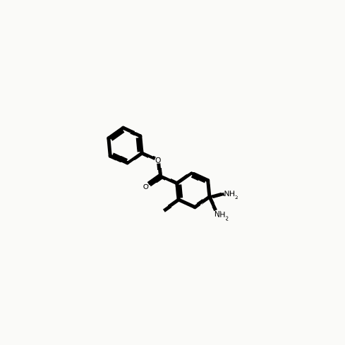 CC1=C(C(=O)Oc2ccccc2)C=CC(N)(N)C1